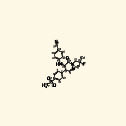 CS(=O)(=O)c1ccc(-c2cnn(CC(F)(F)F)c(=O)c2Nc2ccc(C#N)cc2)cc1